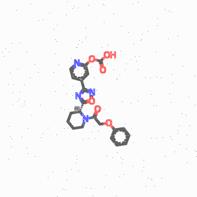 O=C(O)Oc1cc(-c2noc([C@H]3CCCCN3C(=O)COc3ccccc3)n2)ccn1